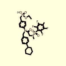 CCOP(=O)(O)Cc1ccc(N(Cc2ccc(C3CCCCC3)cc2)C(=O)CN(C)S(=O)(=O)c2c(F)c(F)c(C)c(F)c2F)cc1